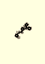 O=C(NCCc1cccc(Cl)c1)c1ccc2c(c1)N=C(c1ccccc1)c1ccccc1S2